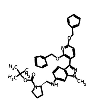 Cn1nc(-c2ccc(OCc3ccccc3)nc2OCc2ccccc2)c2ccc(NC[C@@H]3CCCN3C(=O)OC(C)(C)C)cc21